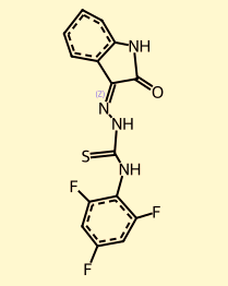 O=C1Nc2ccccc2/C1=N/NC(=S)Nc1c(F)cc(F)cc1F